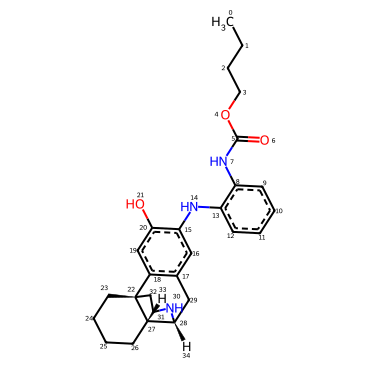 CCCCOC(=O)Nc1ccccc1Nc1cc2c(cc1O)[C@@]13CCCC[C@H]1[C@@H](C2)NCC3